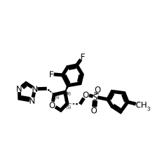 Cc1ccc(S(=O)(=O)OC[C@@H]2CO[C@H](Cn3cncn3)[C@H]2c2ccc(F)cc2F)cc1